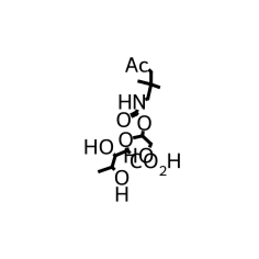 CC(=O)CC(C)(C)CNC(=O)OC(CO)OC(C(=O)O)C(O)C(C)O